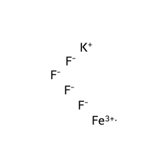 [F-].[F-].[F-].[F-].[Fe+3].[K+]